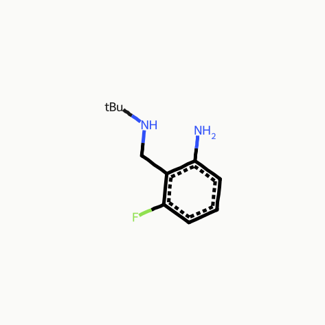 CC(C)(C)NCc1c(N)cccc1F